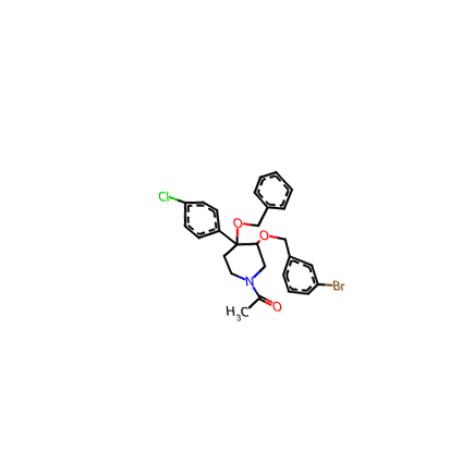 CC(=O)N1CCC(OCc2ccccc2)(c2ccc(Cl)cc2)C(OCc2cccc(Br)c2)C1